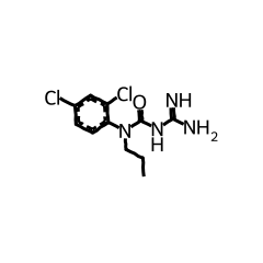 CCCN(C(=O)NC(=N)N)c1ccc(Cl)cc1Cl